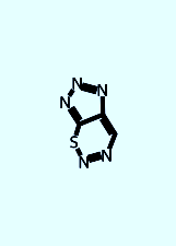 c1nnsc2nnnc1-2